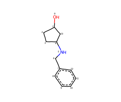 OC1CCC(NCc2ccccc2)C1